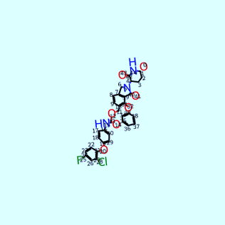 O=C1CCC(N2Cc3ccc(COC(=O)Nc4ccc(Oc5ccc(F)cc5Cl)cc4)c(Oc4ccccc4)c3C2=O)C(=O)N1